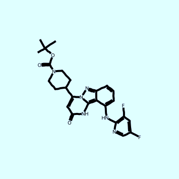 CC(C)(C)OC(=O)N1CCC(c2cc(=O)[nH]c3c4c(Nc5ncc(F)cc5F)cccc4nn23)CC1